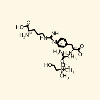 CC(N)=O.C[N+](C)(C)CCO.N=C(N)NCCC[C@H](N)C(=O)O.N[C@@H](Cc1ccccc1)C(=O)[O-]